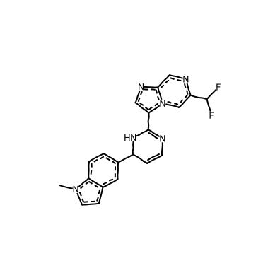 Cn1ccc2cc(C3C=CN=C(c4cnc5cnc(C(F)F)cn45)N3)ccc21